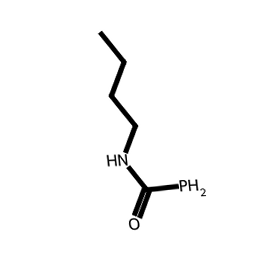 CCCCNC(=O)P